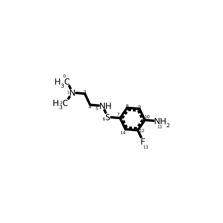 CN(C)CCNSc1ccc(N)c(F)c1